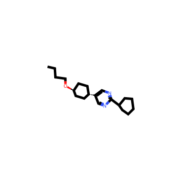 CCCCO[C@H]1CC[C@H](c2cnc(C3CCCCC3)nc2)CC1